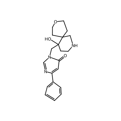 O=c1cc(-c2ccccc2)ncn1CC1(O)CCNCC12CCOCC2